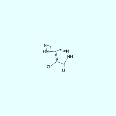 NNc1cn[nH]c(=O)c1Cl